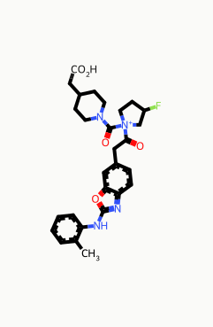 Cc1ccccc1Nc1nc2ccc(CC(=O)[N+]3(C(=O)N4CCC(CC(=O)O)CC4)CCC(F)C3)cc2o1